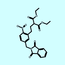 CCOC(=O)C(CCc1cc(CN2C(=O)c3ccccc3C2=O)ccc1[N+](=O)[O-])C(=O)OCC